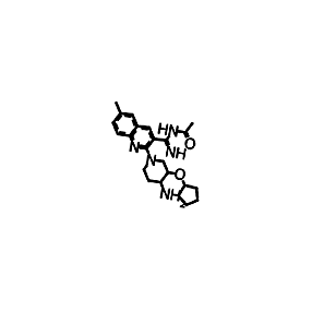 CC(=O)NC(=N)c1cc2cc(C)ccc2nc1N1CCC(N)C(OC2CCCC2)C1